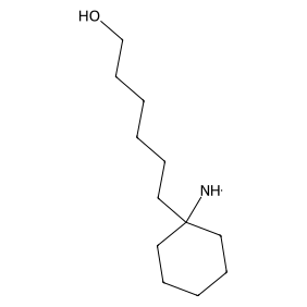 [NH]C1(CCCCCCO)CCCCC1